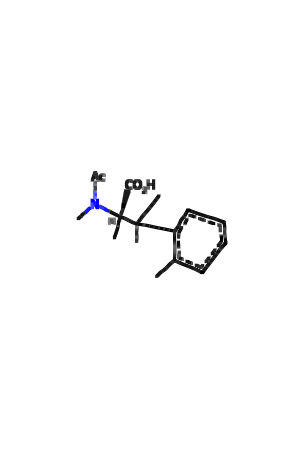 CC(=O)N(C)[C@](C)(C(=O)O)C(C)(C)c1ccccc1C